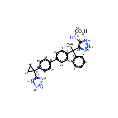 CCC(c1ccccc1)(c1ccc(-c2ccc(C3(c4nnn[nH]4)CC3)cc2)cc1)c1nn[nH]c1NC(=O)O